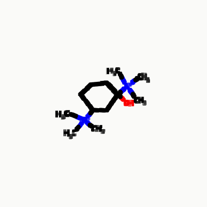 C[N+](C)(C)C1CCCC(O)([N+](C)(C)C)C1